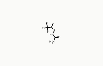 CC(SNC(N)=O)C(F)(F)F